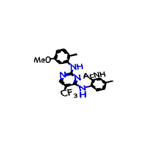 COc1ccc(C)c(Nc2ncc(C(F)(F)F)c(Nc3ccc(C)cc3NC(C)=O)n2)c1